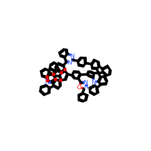 c1ccc(-c2ccc(-c3nc(-c4ccc(-c5ccc6c(c5)C5(c7ccccc7-6)c6ccc(-c7ccc(-c8ccc9c(c8)-c8ccccc8C98c9ccccc9-n9c%10ccccc%10c%10cccc8c%109)cc7-c7nnc(-c8ccccc8)o7)cc6-n6c7ccccc7c7cccc5c76)cc4)nc4ccccc34)cc2)cc1